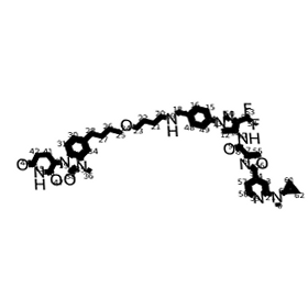 CN(c1cc(-c2nc(C(=O)Nc3cn(-c4ccc(CNCCCCOCCCCc5ccc6c(c5)n(C)c(=O)n6C5CCC(=O)NC5=O)cc4)nc3C(F)F)co2)ccn1)C1CC1